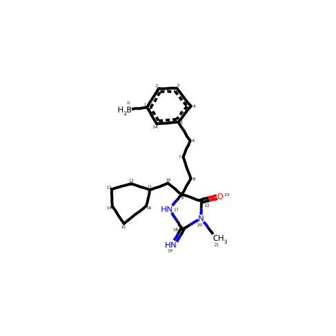 Bc1cccc(CCCC2(CC3CCCCC3)NC(=N)N(C)C2=O)c1